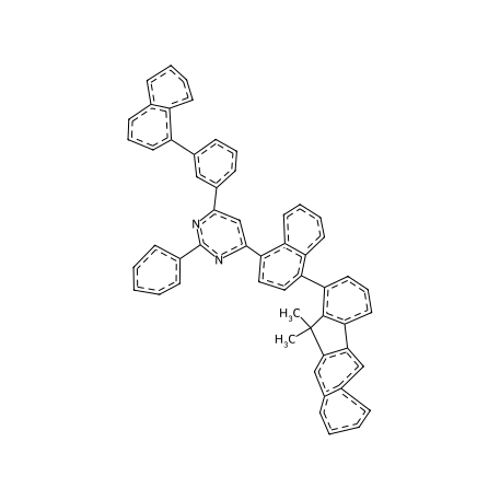 CC1(C)c2cc3ccccc3cc2-c2cccc(-c3ccc(-c4cc(-c5cccc(-c6cccc7ccccc67)c5)nc(-c5ccccc5)n4)c4ccccc34)c21